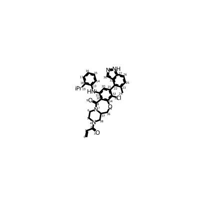 C=CC(=O)N1CCN2C(=O)c3c(Nc4ccccc4C(C)C)cc(-c4c(C)ccc5[nH]ncc45)c(Cl)c3OCC2C1